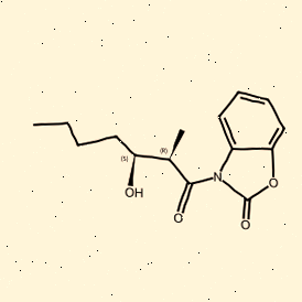 CCCC[C@H](O)[C@@H](C)C(=O)n1c(=O)oc2ccccc21